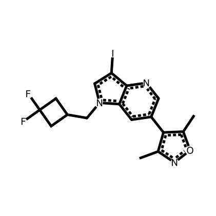 Cc1noc(C)c1-c1cnc2c(I)cn(CC3CC(F)(F)C3)c2c1